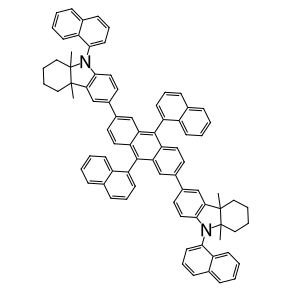 CC12CCCCC1(C)N(c1cccc3ccccc13)c1ccc(-c3ccc4c(-c5cccc6ccccc56)c5cc(-c6ccc7c(c6)C6(C)CCCCC6(C)N7c6cccc7ccccc67)ccc5c(-c5cccc6ccccc56)c4c3)cc12